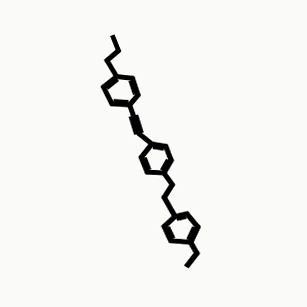 CCCc1ccc(C#Cc2ccc(CCc3ccc(CC)cc3)cc2)cc1